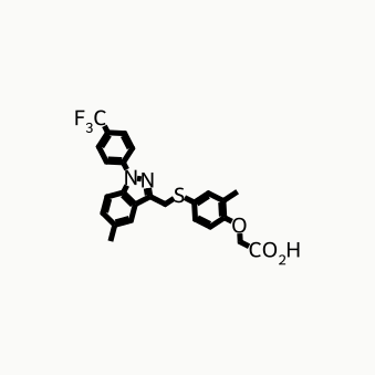 Cc1ccc2c(c1)c(CSc1ccc(OCC(=O)O)c(C)c1)nn2-c1ccc(C(F)(F)F)cc1